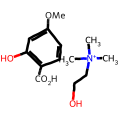 COc1ccc(C(=O)O)c(O)c1.C[N+](C)(C)CCO